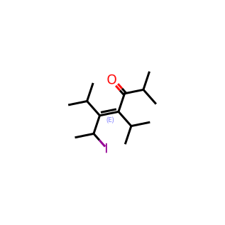 CC(C)C(=O)/C(=C(\C(C)C)C(C)I)C(C)C